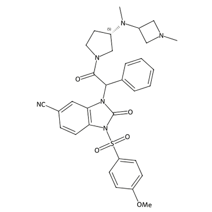 COc1ccc(S(=O)(=O)n2c(=O)n(C(C(=O)N3CC[C@H](N(C)C4CN(C)C4)C3)c3ccccc3)c3cc(C#N)ccc32)cc1